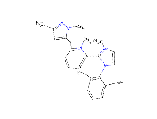 Cc1cc(-c2cccc(-c3n(-c4c(C(C)C)cccc4C(C)C)cc[n+]3C)[n+]2C)n(C)n1